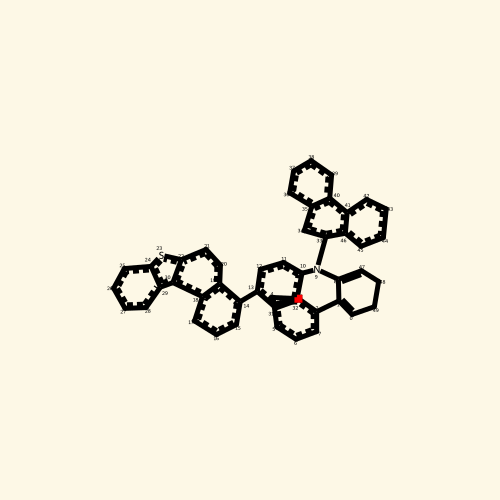 C1=C(c2ccccc2)C(N(c2ccc(-c3cccc4c3ccc3sc5ccccc5c34)cc2)c2cc3ccccc3c3ccccc23)=CCC1